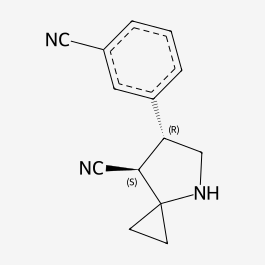 N#Cc1cccc([C@@H]2CNC3(CC3)[C@H]2C#N)c1